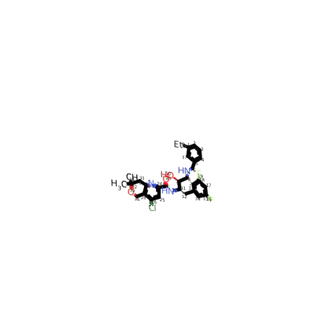 CCc1cccc(CNC[C@H](O)[C@H](Cc2cc(F)cc(F)c2)NC(=O)c2cc(Cl)c3c(n2)CC(C)(C)OC3)c1